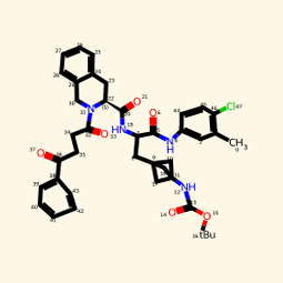 Cc1cc(NC(=O)C(CC23CC(NC(=O)OC(C)(C)C)(C2)C3)NC(=O)[C@@H]2Cc3ccccc3CN2C(=O)CCC(=O)c2ccccc2)ccc1Cl